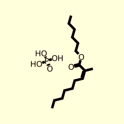 CCCCCCC=C(C)C(=O)OCCCCCC.O=P(O)(O)O